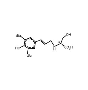 CC(C)(C)c1cc(C=CCN[C@@H](CO)C(=O)O)cc(C(C)(C)C)c1O